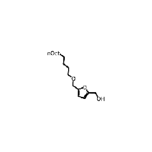 CCCCCCCCCCCCOCc1ccc(CO)o1